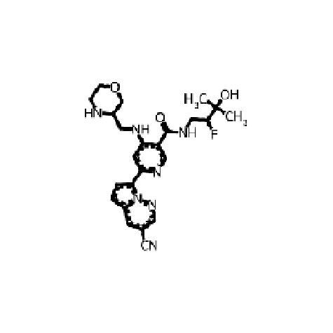 CC(C)(O)C(F)CNC(=O)c1cnc(-c2ccc3cc(C#N)cnn23)cc1NCC1COCCN1